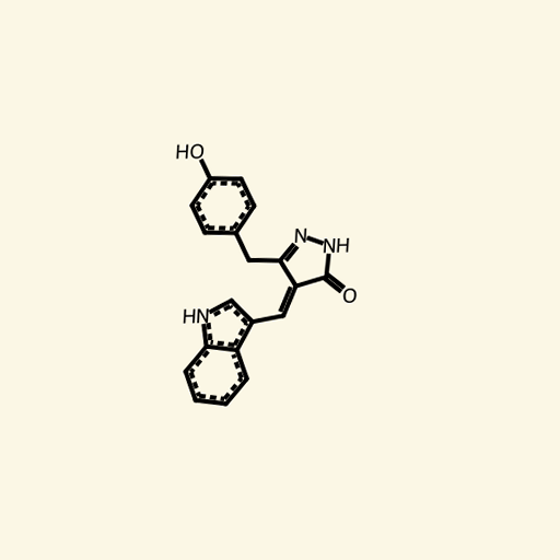 O=C1NN=C(Cc2ccc(O)cc2)C1=Cc1c[nH]c2ccccc12